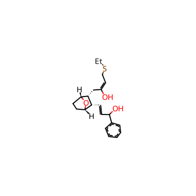 CCSC/C=C(/O)C[C@@H]1[C@H](/C=C/C(O)c2ccccc2)[C@@H]2CC[C@H]1O2